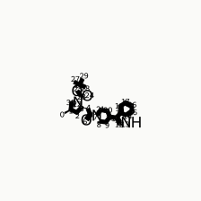 C[C@@H]1C[C@@H](CC(=O)N2CCC(c3c[nH]c4ccccc34)CC2)N(C(=O)OC(C)(C)C)C1